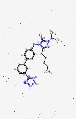 CCCCCc1nn(C(C)C)c(=O)n1Cc1ccc(-c2cccc(-c3nnn[nH]3)c2)cc1